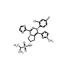 CC(C)S(=O)(=O)N[C@H]1CC2=C(c3ccn(C)n3)[C@H](c3ccc(F)cc3Cl)N=C(c3nccs3)N2C1